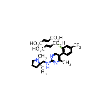 Cc1nc(NC[C@@]2(C)CCCN2C)ncc1-c1ccc(C(F)(F)F)cc1F.O=C(O)/C=C/C(=O)O.O=C(O)/C=C/C(=O)O